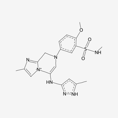 CNS(=O)(=O)c1cc(N2C=C(Nc3cc(C)[nH]n3)[N+]3C=C(C)N=C3C2)ccc1OC